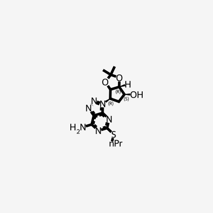 CCCSc1nc(N)c2nnn([C@@H]3C[C@H](O)[C@H]4OC(C)(C)OC34)c2n1